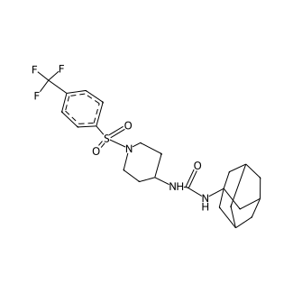 O=C(NC1CCN(S(=O)(=O)c2ccc(C(F)(F)F)cc2)CC1)NC12CC3CC(CC(C3)C1)C2